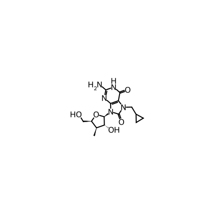 C[C@@H]1[C@@H](O)[C@H](n2c(=O)n(CC3CC3)c3c(=O)[nH]c(N)nc32)O[C@@H]1CO